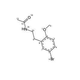 COc1ccc(Br)cc1CCNC(C)=O